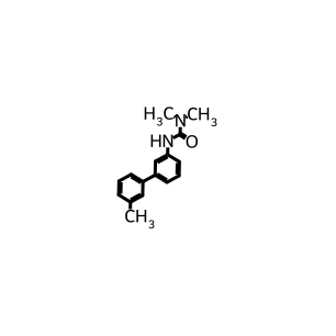 Cc1cccc(-c2cccc(NC(=O)N(C)C)c2)c1